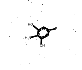 Nc1c(O)cc(F)cc1O